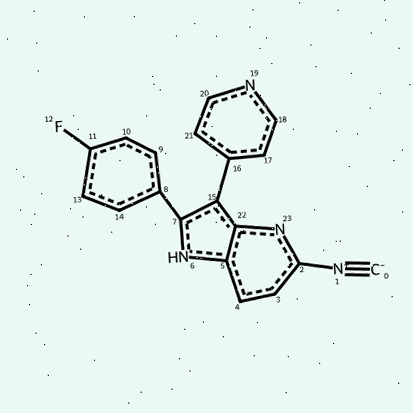 [C-]#[N+]c1ccc2[nH]c(-c3ccc(F)cc3)c(-c3ccncc3)c2n1